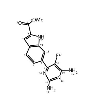 COC(=O)c1cc2ccc(-c3nc(N)nc(N)c3F)cc2[nH]1